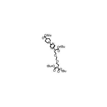 COC(=O)C1CCN(c2cnc(N(CCOCCOCCN(C(=O)OC(C)(C)C)C(=O)OC(C)(C)C)C(=O)OC(C)(C)C)cn2)CC1